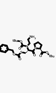 CC(C)(C)OC(=O)[C@@H]1CCCN1C(=O)[C@H](CSC(=O)OCc1ccccc1)N(CCN)C(=O)OC(C)(C)C